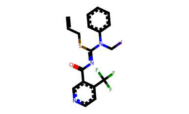 C=CCSC(=NC(=O)c1cnccc1C(F)(F)F)N(CI)c1ccccc1